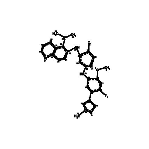 COc1cc(F)c(-c2cnn(C)c2)cc1Nc1ncc(Br)c(Nc2ccc3nccnc3c2P(C)C)n1